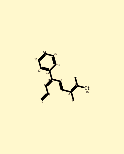 C=CC=C(C=CC(C)=C(C)CC)c1ccccc1